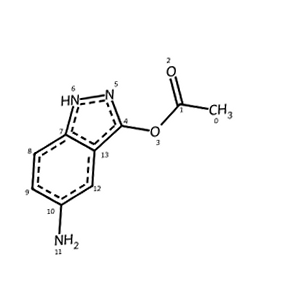 CC(=O)Oc1n[nH]c2ccc(N)cc12